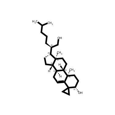 CC(C)CCC[C@@H](CO)[C@H]1CC[C@H]2[C@@H]3CC=C4C5(CC5)[C@@H](O)CC[C@]4(C)[C@H]3CC[C@]12C